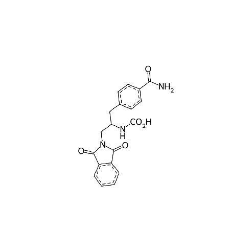 NC(=O)c1ccc(CC(CN2C(=O)c3ccccc3C2=O)NC(=O)O)cc1